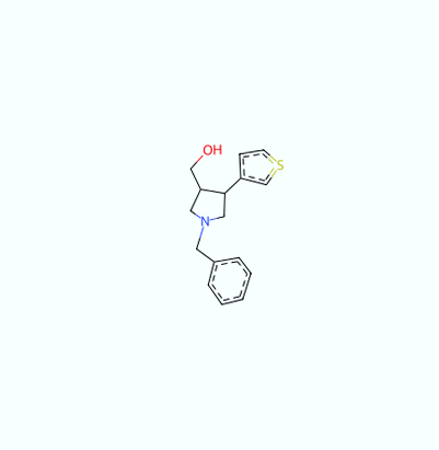 OCC1CN(Cc2ccccc2)CC1c1ccsc1